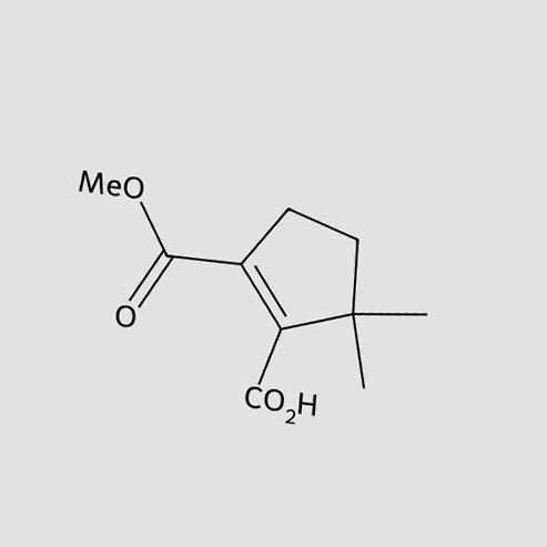 COC(=O)C1=C(C(=O)O)C(C)(C)CC1